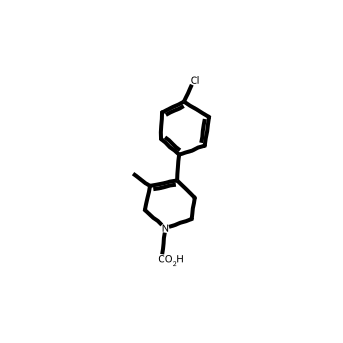 CC1=C(c2ccc(Cl)cc2)CCN(C(=O)O)C1